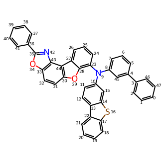 c1ccc(-c2cccc(N(c3ccc4c(c3)sc3ccccc34)c3cccc4c3oc3ccc5oc(-c6ccccc6)nc5c34)c2)cc1